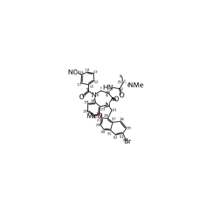 CN[C@@H](C)C(=O)N[C@H]1CN(C(=O)c2cccc(C#N)c2)c2ccccc2N(Cc2c(OC)ccc3cc(Br)ccc23)C1=O